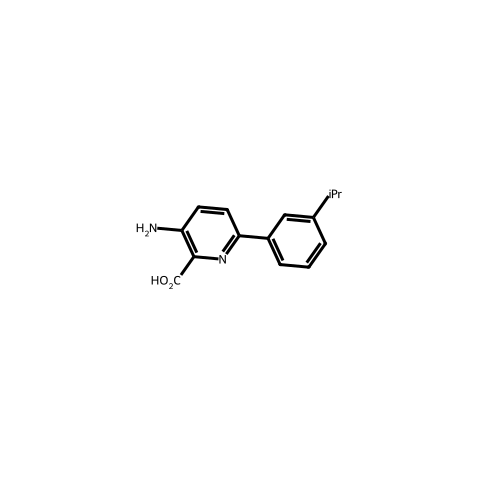 CC(C)c1cccc(-c2ccc(N)c(C(=O)O)n2)c1